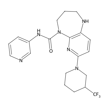 O=C(Nc1cccnc1)N1CCCNc2ccc(N3CCCC(C(F)(F)F)C3)nc21